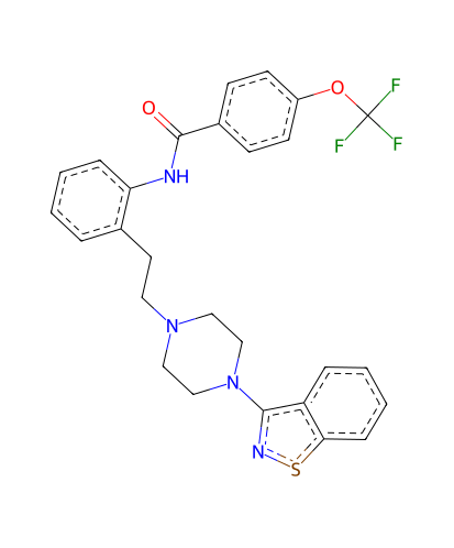 O=C(Nc1ccccc1CCN1CCN(c2nsc3ccccc23)CC1)c1ccc(OC(F)(F)F)cc1